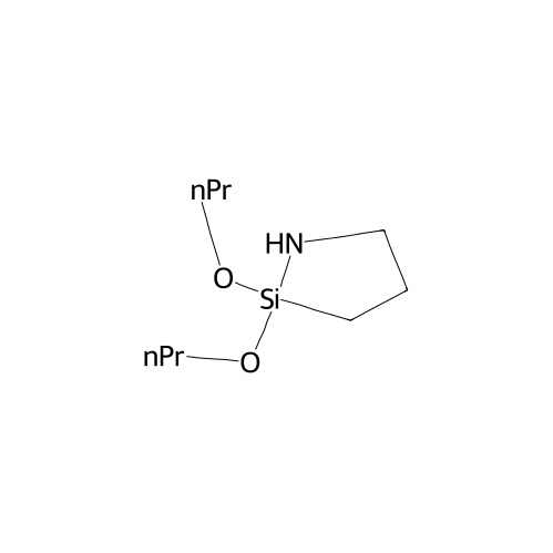 CCCO[Si]1(OCCC)CCCN1